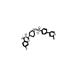 Cc1cc(-c2ccc(S(=O)(=O)N[C@H]3CC[C@H](C(=O)N[C@H](C)c4ccc(F)cc4)CC3)cc2)ccn1